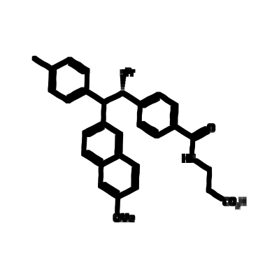 CCC[C@H](c1ccc(C(=O)NCCC(=O)O)cc1)C(c1ccc(C)cc1)c1ccc2cc(OC)ccc2c1